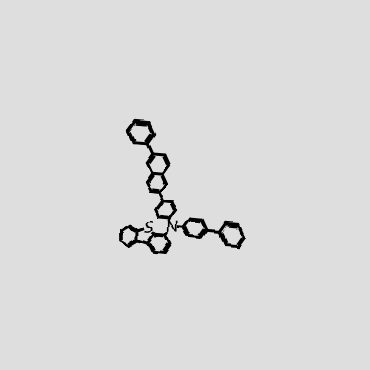 c1ccc(-c2ccc(N(c3ccc(-c4ccc5cc(-c6ccccc6)ccc5c4)cc3)c3cccc4c3sc3ccccc34)cc2)cc1